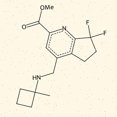 COC(=O)c1cc(CNC2(C)CCC2)c2c(n1)C(F)(F)CC2